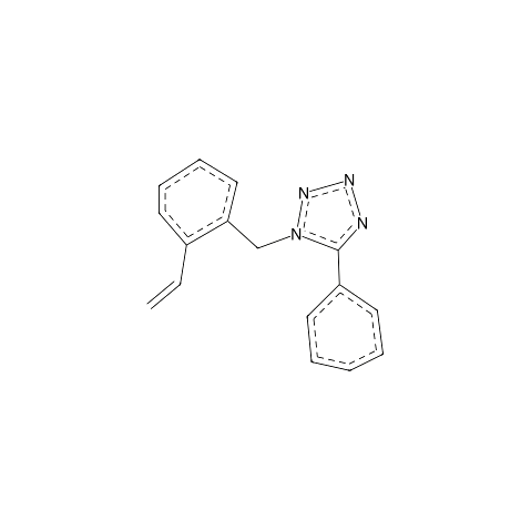 C=Cc1ccccc1Cn1nnnc1-c1ccccc1